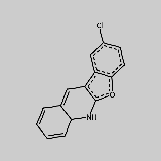 Clc1ccc2oc3c(c2c1)C=C1C=CC=CC1N3